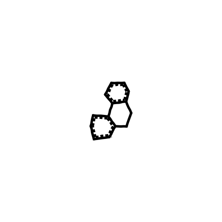 [c]1cccc2c1CCc1ccccc1-2